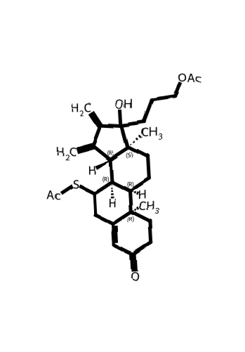 C=C1C(=C)C(O)(CCCOC(C)=O)[C@@]2(C)CC[C@@H]3[C@@H](C(SC(C)=O)CC4=CC(=O)CC[C@@]43C)[C@H]12